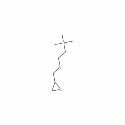 C[Si](C)(C)CCOCC1CO1